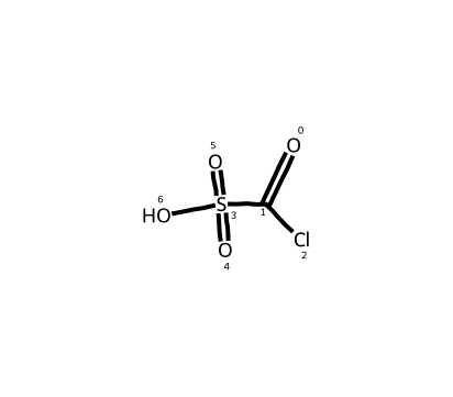 O=C(Cl)S(=O)(=O)O